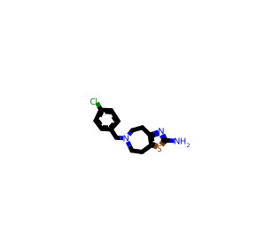 Nc1nc2c(s1)CCN(Cc1ccc(Cl)cc1)CC2